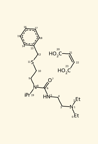 CCN(CC)CCNC(=O)N(CCSCc1ccccc1)C(C)C.O=C(O)/C=C\C(=O)O